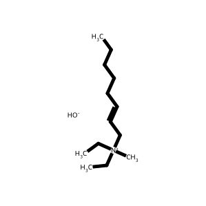 CCCCCC=CC[N+](C)(CC)CC.[OH-]